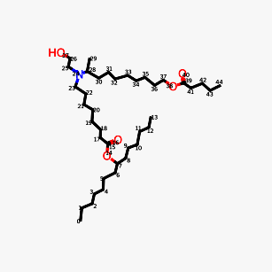 CCCCCCCC(CCCCCC)OC(=O)CCCCCCCN(CCO)C(C)CCCCCCCCOC(=O)CCCC